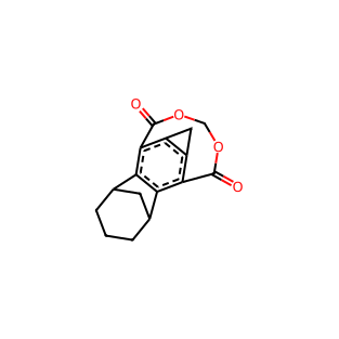 O=C1OCOC(=O)c2c3c(c1c1c2C2CCCC1C2)C3